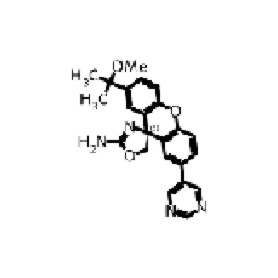 COC(C)(C)c1ccc2c(c1)[C@]1(COC(N)=N1)c1cc(-c3cncnc3)ccc1O2